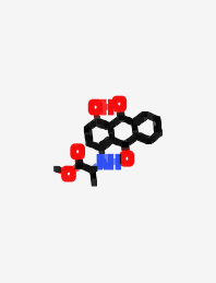 COC(=O)C(C)Nc1ccc(O)c2c1C(=O)c1ccccc1C2=O